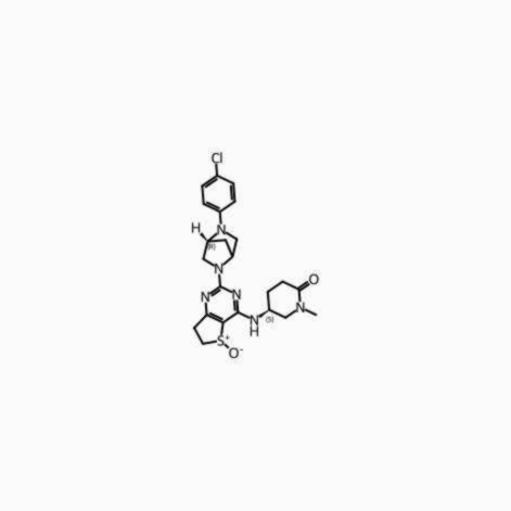 CN1C[C@@H](Nc2nc(N3C[C@H]4CC3CN4c3ccc(Cl)cc3)nc3c2[S+]([O-])CC3)CCC1=O